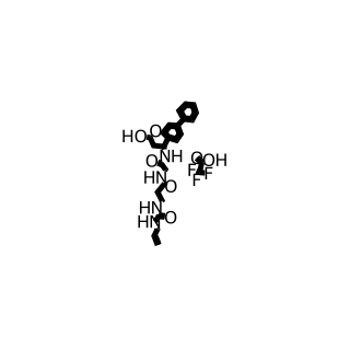 C=CCNC(=O)NCCC(=O)NCC(=O)NC(CC(=O)O)c1ccc(-c2ccccc2)cc1.O=C(O)C(F)(F)F